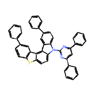 c1ccc(-c2ccc3sc4ccc5c(c6cc(-c7ccccc7)ccc6n5-c5nc(-c6ccccc6)cc(-c6ccccc6)n5)c4c3c2)cc1